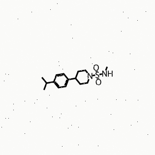 CNS(=O)(=O)N1CCC(c2ccc(C(C)C)cc2)CC1